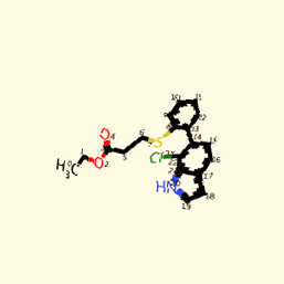 CCOC(=O)CCSc1ccccc1-c1ccc2cc[nH]c2c1Cl